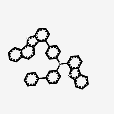 c1ccc(-c2cccc(N(c3ccc(-c4cccc5oc6c7ccccc7ccc6c45)cc3)c3cccc4c3sc3ccccc34)c2)cc1